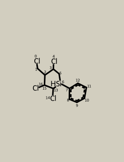 ClCC1C(Cl)C[SiH](c2ccccc2)C(Cl)C1Cl